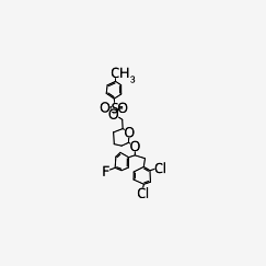 Cc1ccc(S(=O)(=O)OCC2CCCC(OC(Cc3ccc(Cl)cc3Cl)c3ccc(F)cc3)O2)cc1